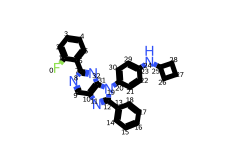 Fc1ccccc1-c1ncc2nc(-c3ccccc3)n(-c3ccc(NC4CCC4)cc3)c2n1